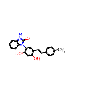 Cc1ccc(C=Cc2cc(-n3c(=O)[nH]c4ccccc43)c(O)cc2O)cc1